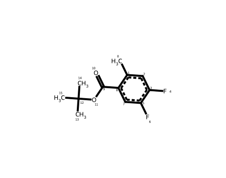 Cc1cc(F)c(F)cc1C(=O)OC(C)(C)C